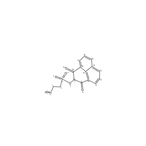 CCCCCCCCCCCCS(=O)(=O)ON1C(=O)c2cccc3cccc(c23)C1=O